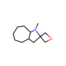 CN1C2CCCCCC2CC12COC2